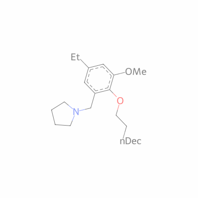 CCCCCCCCCCCCOc1c(CN2CCCC2)cc(CC)cc1OC